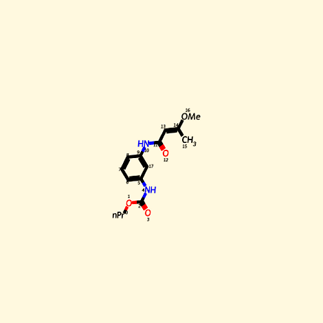 CCCOC(=O)Nc1cccc(NC(=O)C=C(C)OC)c1